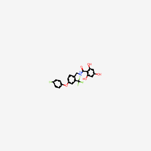 O=C(NCc1ccc(Oc2ccc(F)cc2)cc1C(F)(F)F)c1c(O)cc(O)cc1O